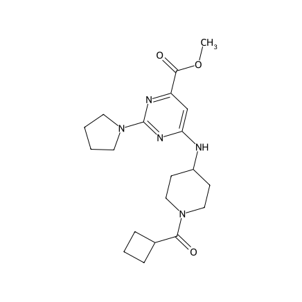 COC(=O)c1cc(NC2CCN(C(=O)C3CCC3)CC2)nc(N2CCCC2)n1